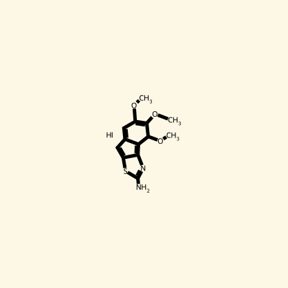 COC1=C(OC)C(OC)C2=c3nc(N)sc3=CC2=C1.I